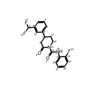 O=C1CC(c2cccc(C(F)F)c2)CCN1C(=O)Nc1ccccc1F